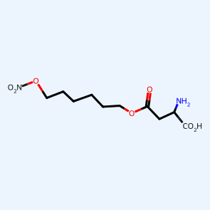 NC(CC(=O)OCCCCCCO[N+](=O)[O-])C(=O)O